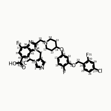 CCn1cncc1Cn1c(CN2CCC(Oc3ccc(F)c(OCc4ccc(Cl)cc4F)c3)CC2)nc2c(F)cc(C(=O)O)cc21